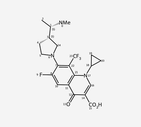 CN[C@@H](C)[C@H]1CCN(c2c(F)cc3c(=O)c(C(=O)O)cn(C4CC4)c3c2C(F)(F)F)C1